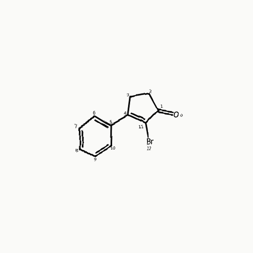 O=C1CCC(c2ccccc2)=C1Br